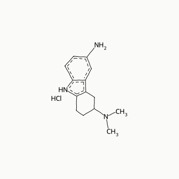 CN(C)C1CCc2[nH]c3ccc(N)cc3c2C1.Cl